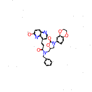 COc1ccc2nccc(/C=C/C(=O)N(Cc3ccccc3)CC3CN(c4ccc5c(c4)OCCO5)C(=O)O3)c2n1